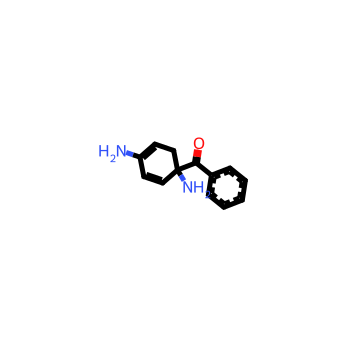 NC1=CCC(N)(C(=O)c2ccccc2)C=C1